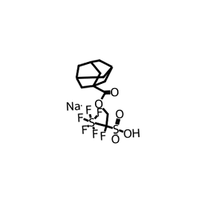 O=C(OCC(F)(S(=O)(=O)O)S(F)(F)(F)(F)F)C12CC3CC(CC(C3)C1)C2.[Na]